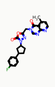 Cc1ccnc2ncn(Cc3nn(C4CCC(c5ccc(F)cc5)C4)c(=O)o3)c(=O)c12